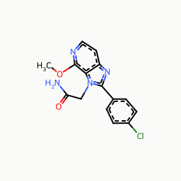 COc1nccc2nc(-c3ccc(Cl)cc3)n(CC(N)=O)c12